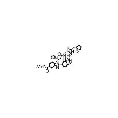 CNC(=O)c1ccc2c(c1)nc(-c1ccc3cn[nH]c3c1)n2C(CC(=O)NCc1nc(Cc2cccs2)no1)C(C)(C)C